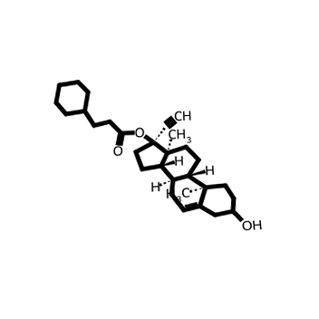 C#C[C@@]1(OC(=O)CCC2CCCCC2)CC[C@H]2[C@@H]3CC=C4CC(O)CC[C@]4(C)[C@H]3CC[C@@]21C